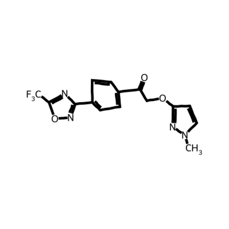 Cn1ccc(OCC(=O)c2ccc(-c3noc(C(F)(F)F)n3)cc2)n1